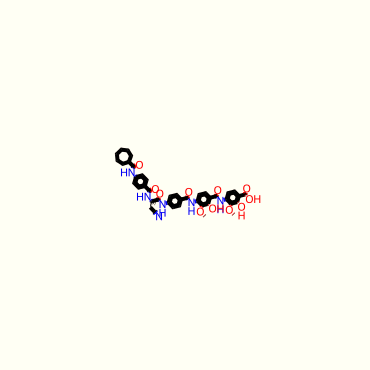 COc1c(NC(=O)c2ccc(NC(=O)c3ccc(NC(=O)[C@H](CC#N)NC(=O)c4ccc(NC(=O)C5CCCCCC5)cc4)cc3)c(OC)c2O)ccc(C(=O)O)c1O